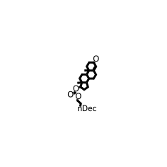 CCCCCCCCCCCCOC(=O)OC1CCC2C3CCC4=CC(=O)CCC4(C)C3CCC12C